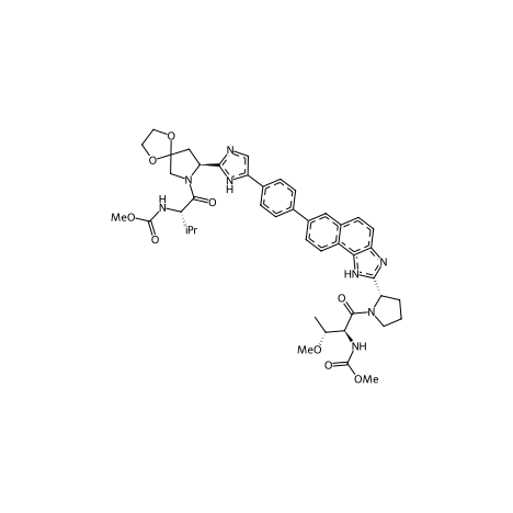 COC(=O)N[C@H](C(=O)N1CC2(C[C@H]1c1ncc(-c3ccc(-c4ccc5c(ccc6nc([C@@H]7CCCN7C(=O)[C@@H](NC(=O)OC)[C@@H](C)OC)[nH]c65)c4)cc3)[nH]1)OCCO2)C(C)C